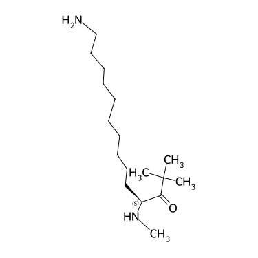 CN[C@@H](CCCCCCCCCCN)C(=O)C(C)(C)C